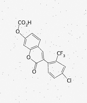 O=C(O)Oc1ccc2cc(-c3ccc(Cl)cc3C(F)(F)F)c(=O)oc2c1